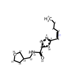 CCC/C=C\c1nnc(C(=O)NCC2CCOC2)s1